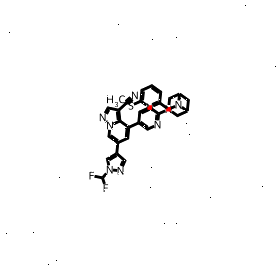 CSc1cccc(CN2C3CC2CN(c2ccc(-c4cc(-c5cnn(C(F)F)c5)cn5ncc(C#N)c45)cn2)C3)n1